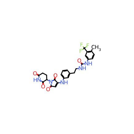 Cc1ccc(NC(=O)NCCc2cccc(NC3=CC(=O)N(C4CCC(=O)NC4=O)C3=O)c2)cc1C(F)(F)F